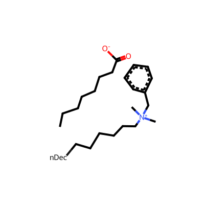 CCCCCCCC(=O)[O-].CCCCCCCCCCCCCCCC[N+](C)(C)Cc1ccccc1